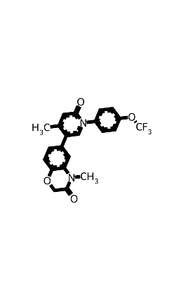 Cc1cc(=O)n(-c2ccc(OC(F)(F)F)cc2)cc1-c1ccc2c(c1)N(C)C(=O)CO2